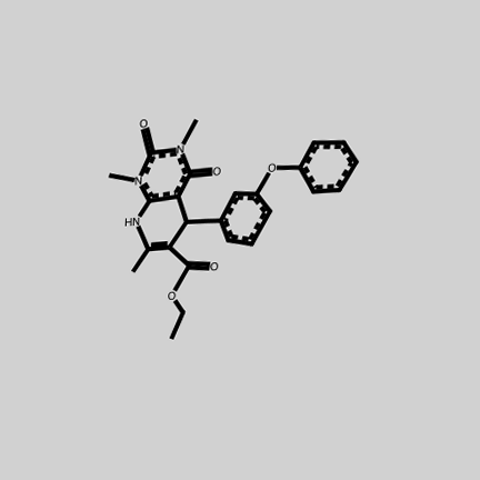 CCOC(=O)C1=C(C)Nc2c(c(=O)n(C)c(=O)n2C)C1c1cccc(Oc2ccccc2)c1